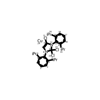 CC(C)c1cccc(C(C)C)c1N1C=C(Cl)N(c2c(C(C)C)cccc2C(C)C)C1(Cl)Cl.[Cu]